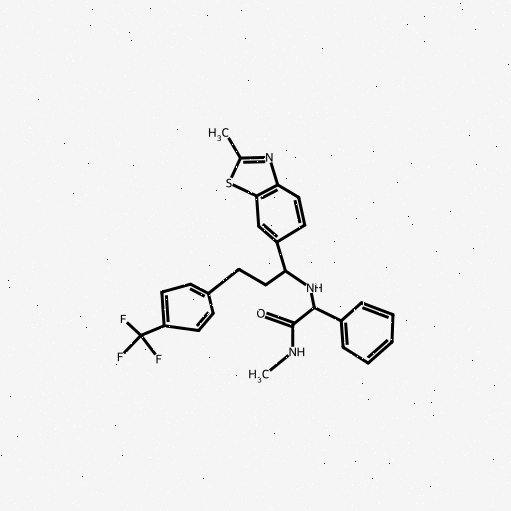 CNC(=O)C(NC(CCc1ccc(C(F)(F)F)cc1)c1ccc2nc(C)sc2c1)c1ccccc1